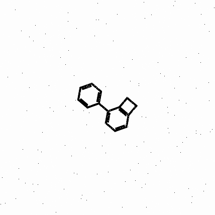 [c]1ccc(-c2ccccc2)c2c1CC2